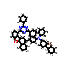 c1ccc(-c2nc(-c3ccccc3)nc(-c3cccc4oc5c6ccccc6c(-c6ccc(N(c7ccccc7)c7ccc8c(c7)sc7ccccc78)cc6)cc5c34)n2)cc1